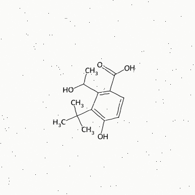 CC(O)c1c(C(=O)O)ccc(O)c1C(C)(C)C